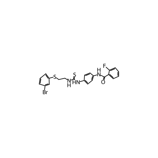 O=C(Nc1ccc(NC(=S)NCCSc2cccc(Br)c2)cc1)c1ccccc1F